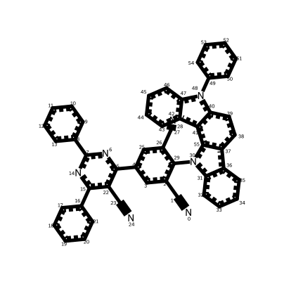 N#Cc1cc(-c2nc(-c3ccccc3)nc(-c3ccccc3)c2C#N)cc(C#N)c1-n1c2ccccc2c2ccc3c(c4ccccc4n3-c3ccccc3)c21